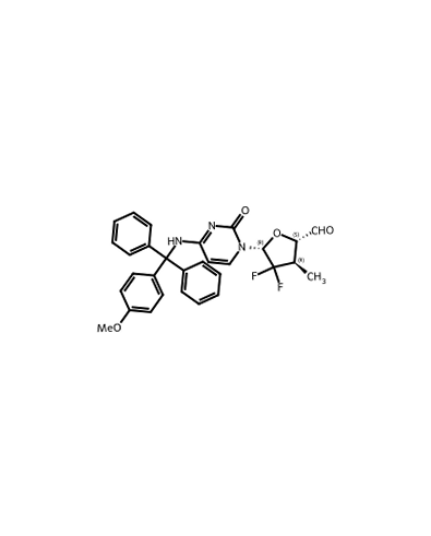 COc1ccc(C(Nc2ccn([C@@H]3O[C@H](C=O)[C@@H](C)C3(F)F)c(=O)n2)(c2ccccc2)c2ccccc2)cc1